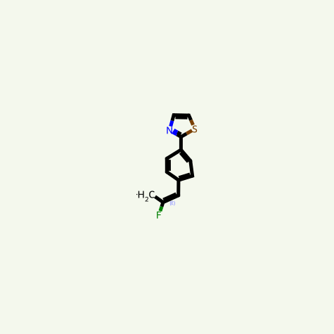 [CH2]/C(F)=C\c1ccc(-c2nccs2)cc1